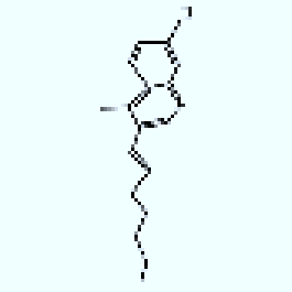 CCCCCC=Cc1cnc2cc(Cl)ccc2c1C